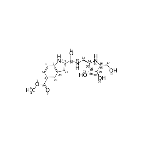 COC(=O)c1ccc2[nH]c(C(=O)NC[C@H]3N[C@H](CO)[C@@H](O)[C@@H]3O)cc2c1